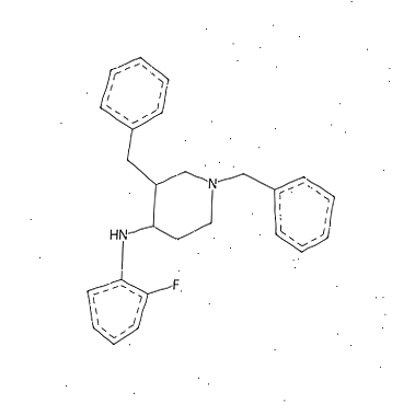 Fc1ccccc1NC1CCN(Cc2ccccc2)CC1Cc1ccccc1